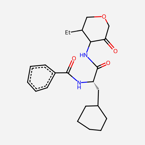 CCC1COCC(=O)C1NC(=O)[C@H](CC1CCCCC1)NC(=O)c1ccccc1